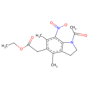 CCOC(=O)Cc1c(C)c2c(c([N+](=O)[O-])c1C)N(C(C)=O)CC2